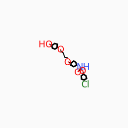 O=C(Nc1ccc(OCCCCOc2ccc(O)cc2)cc1)Oc1ccc(Cl)cc1